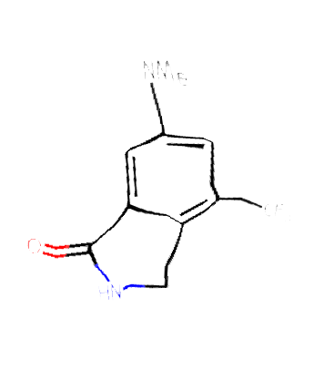 CNc1cc2c(c(C(F)(F)F)c1)CNC2=O